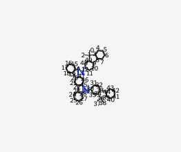 CC1(C)c2ccccc2-c2ccc(-n3c4ccccc4c4cc5c6ccccc6n(-c6ccc7c(c6)C(C)(C)c6ccccc6-7)c5cc43)cc21